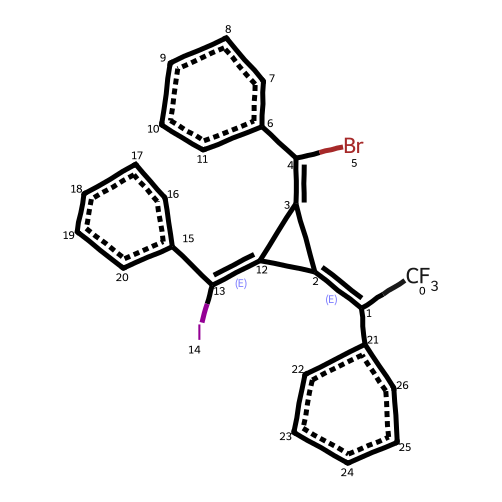 FC(F)(F)/C(=C1\C(=C(Br)c2ccccc2)\C1=C(\I)c1ccccc1)c1ccccc1